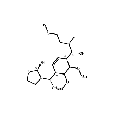 CCCCOC1C(OCCCC)[C@@H]([C@H](O)N2CCS[C@H]2S)C=C[C@H]1[C@@H](O)N(C)CCSS